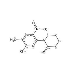 Cc1cc([N+](=O)[O-])c(C2CCCCC2=O)nc1Cl